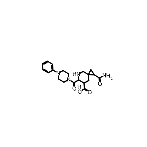 NC(=O)C1CC12CNC(C(=O)N1CCN(c3ccccc3)CC1)C(C(=O)O)C2